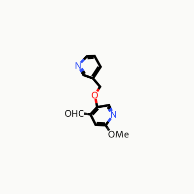 COc1cc(C=O)c(OCc2cccnc2)cn1